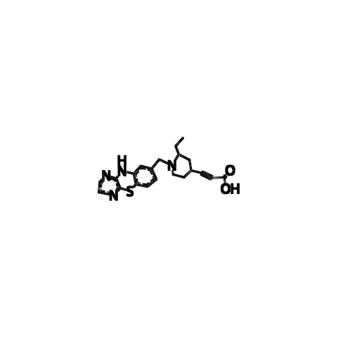 CCC1CC(C#CC(=O)O)CCN1Cc1ccc2c(c1)Nc1nccnc1S2